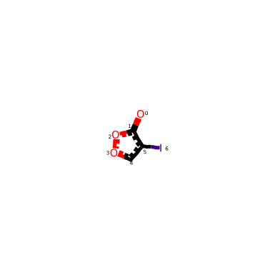 O=c1oocc1I